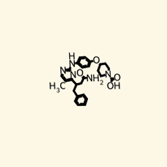 Cc1cnc(Nc2ccc(OC3CCN(C(=O)O)CC3)cc2)nc1C(CC(N)=O)Cc1ccccc1